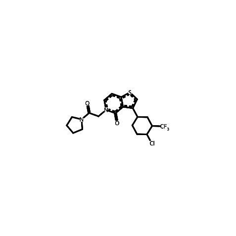 O=C(Cn1ccc2scc(C3CCC(Cl)C(C(F)(F)F)C3)c2c1=O)N1CCCC1